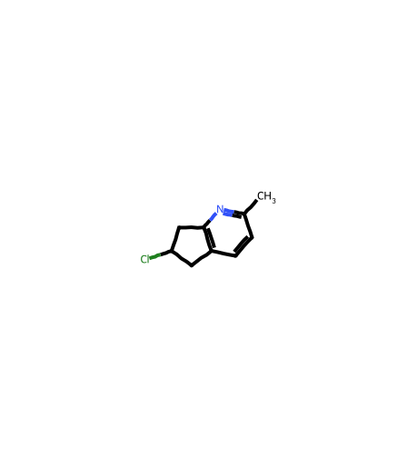 Cc1ccc2c(n1)CC(Cl)C2